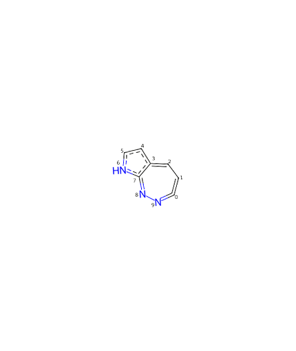 C1=CC=c2cc[nH]c2=NN=1